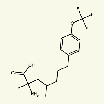 CC(CCCc1ccc(OC(F)(F)F)cc1)CC(C)(N)C(=O)O